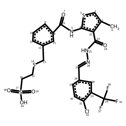 Cc1csc(NC(=O)c2cccc(CSCCS(=O)(=O)O)c2)c1C(=O)NN=Cc1ccc(Cl)c(C(F)(F)F)c1